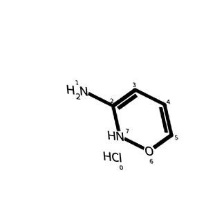 Cl.NC1=CC=CON1